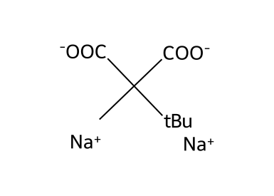 CC(C)(C)C(C)(C(=O)[O-])C(=O)[O-].[Na+].[Na+]